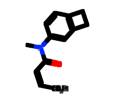 CCOC(=O)/C=C\C(=O)N(C)c1ccc2c(c1)CC2